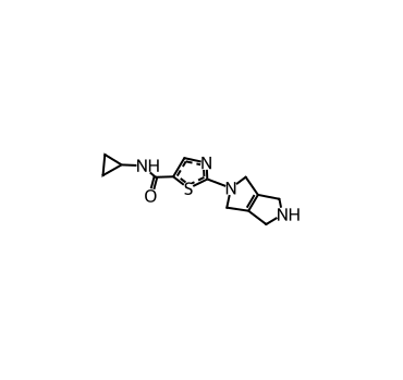 O=C(NC1CC1)c1cnc(N2CC3=C(CNC3)C2)s1